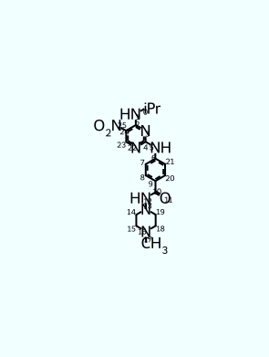 CC(C)Nc1nc(Nc2ccc(C(=O)NN3CCN(C)CC3)cc2)ncc1[N+](=O)[O-]